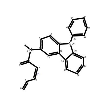 C=C/C=C\C(=C)N(C)c1ccc2c(c1)c1ccccc1n2-c1ccccc1